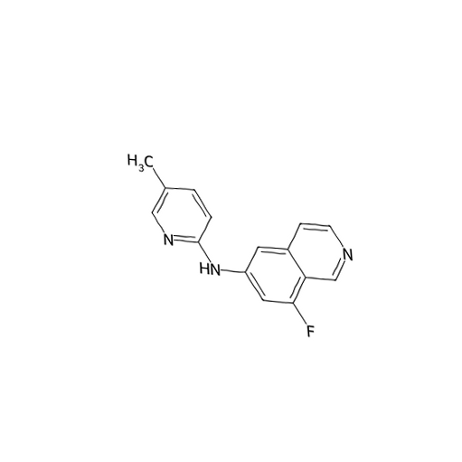 Cc1ccc(Nc2cc(F)c3cnccc3c2)nc1